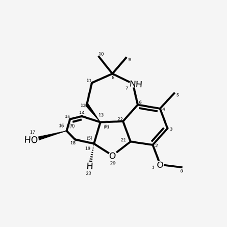 COC1=CC(C)=C2NC(C)(C)CC[C@]34C=C[C@H](O)C[C@@H]3OC1C24